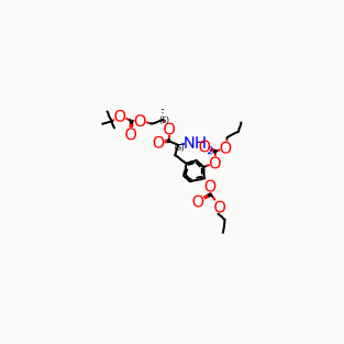 CCCOC(=O)Oc1ccc(C[C@H](N)C(=O)O[C@@H](C)COC(=O)OC(C)(C)C)cc1OC(=O)OCCC